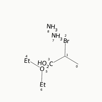 CC(Br)C(=O)O.CCOCC.N.N